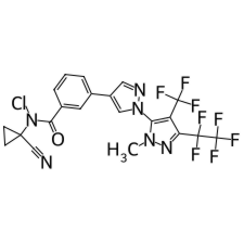 Cn1nc(C(F)(F)C(F)(F)F)c(C(F)(F)F)c1-n1cc(-c2cccc(C(=O)N(Cl)C3(C#N)CC3)c2)cn1